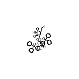 CS(=O)(=O)O[C@H]1[C@@H](OC(c2ccccc2)(c2ccccc2)c2ccccc2)[C@H](n2cc(C=CI)c(=O)[nH]c2=O)O[C@@H]1COC(c1ccccc1)(c1ccccc1)c1ccccc1